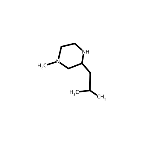 CC(C)CC1CN(C)CCN1